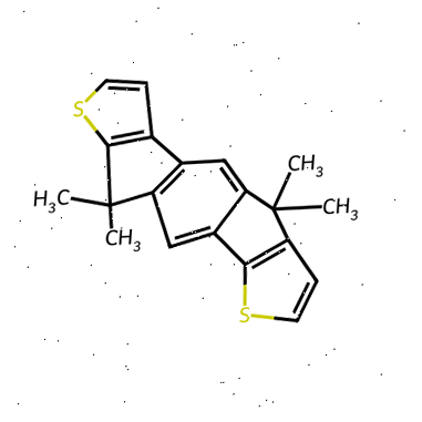 CC1(C)c2cc3c(cc2-c2sccc21)C(C)(C)c1sccc1-3